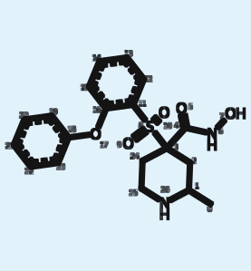 CC1CC(C(=O)NO)(S(=O)(=O)c2ccccc2Oc2ccccc2)CCN1